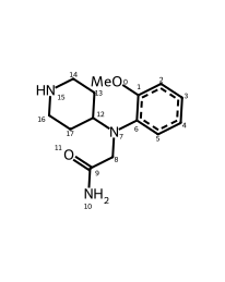 COc1ccccc1N(CC(N)=O)C1CCNCC1